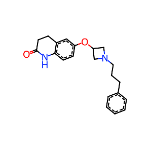 O=C1CCc2cc(OC3CN(CCCc4ccccc4)C3)ccc2N1